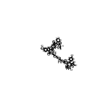 CN[C@@H](C)C(=O)NC(C(=O)N1CCN(C(=O)c2c(C(=O)NCCOCCOCCNC(=O)C[C@@H]3N=C(c4ccc(C)cc4)c4c(sc(C)c4C)-n4c(C)nnc43)c3ccc(OC)cc3n2C)CC1)C1CCCCC1